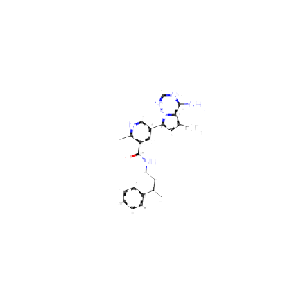 Cc1ncc(-c2cc(C(F)(F)F)c3c(N)ncnn23)cc1C(=O)NCCC(C)c1ccccc1